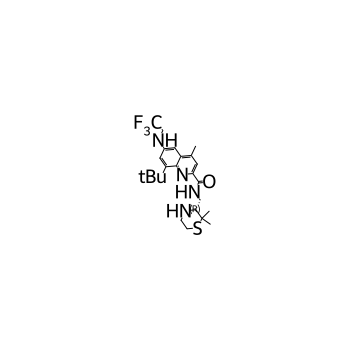 Cc1cc(C(=O)NC[C@H]2NCCSC2(C)C)nc2c(C(C)(C)C)cc(NCC(F)(F)F)cc12